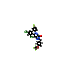 O=c1c2nn(-c3ccc(F)cc3)c(-c3ccc(Cl)cc3Cl)cc-2nn1Cc1ccc(OC(F)(F)F)cc1